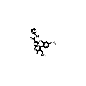 Cc1nc2nc(C(=O)Nc3nccs3)cn2c(-c2ccc(N)cc2Cl)c1CN